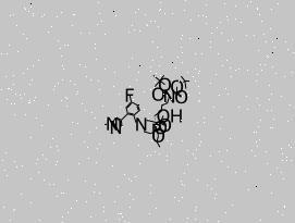 CCOP1(=O)CCN(Cc2ccc(F)cc2-c2cnn(C)c2)C[C@@]1(CCCCN(C(=O)OC(C)(C)C)C(=O)OC(C)(C)C)C(=O)O